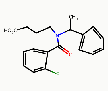 CC(c1ccccc1)N(CCCC(=O)O)C(=O)c1ccccc1F